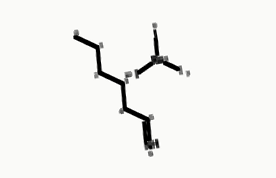 CCCCCC=N.[I][Ru]([I])[I]